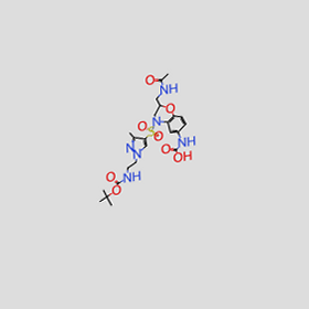 CC(=O)NCC1CN(S(=O)(=O)c2cn(CCNC(=O)OC(C)(C)C)nc2C)c2cc(NC(=O)O)ccc2O1